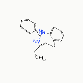 CC/C1=C\Cc2ccccc2NC(c2ccccc2)N1